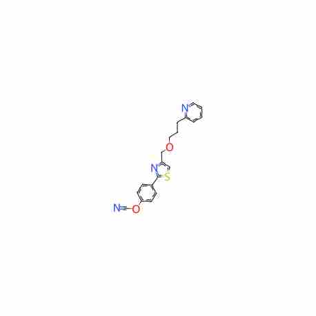 N#COc1ccc(-c2nc(COCCCc3ccccn3)cs2)cc1